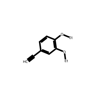 C#Cc1ccc(OCC)c(OCC)c1